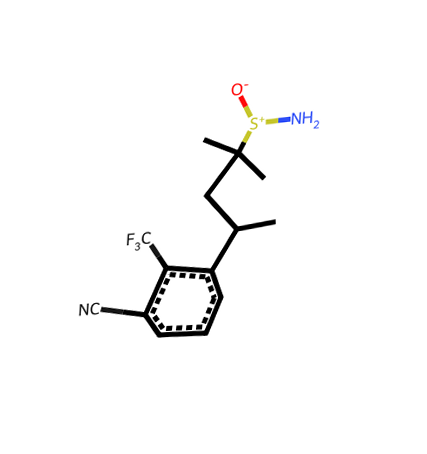 CC(CC(C)(C)[S+](N)[O-])c1cccc(C#N)c1C(F)(F)F